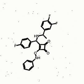 CC(NC(c1ccc(F)cc1)c1c(ONc2ccccc2)c(=O)c1=O)c1ccc(F)c(F)c1